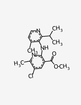 COC(=O)c1cc(Cl)c(C)nc1Nc1c(C)ccnc1C(C)C